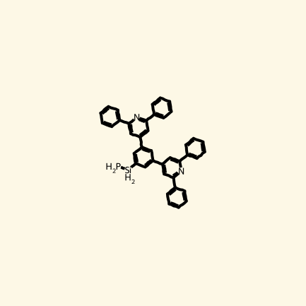 P[SiH2]c1cc(-c2cc(-c3ccccc3)nc(-c3ccccc3)c2)cc(-c2cc(-c3ccccc3)nc(-c3ccccc3)c2)c1